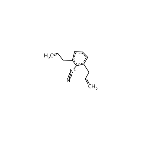 C=CCc1cccc(CC=C)c1[N+]#N